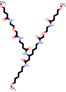 COCCCCCCNC(=O)CC(CCCCNC(=O)COCCNC(=O)CCCCOC)NC(=O)CCCNC(=O)COCCNC(=O)CCCOC